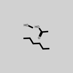 CC(=O)O.CCCCCC.CO